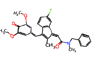 COC1=CC(=CC2=C(C)C(=CC(=O)N(C)Cc3ccccc3)c3cc(F)ccc32)C=C(OC)C1=O